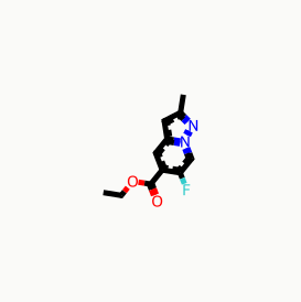 CCOC(=O)c1cc2cc(C)nn2cc1F